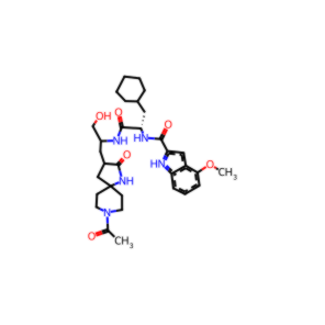 COc1cccc2[nH]c(C(=O)N[C@@H](CC3CCCCC3)C(=O)NC(CO)CC3CC4(CCN(C(C)=O)CC4)NC3=O)cc12